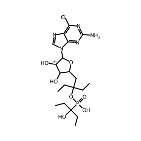 CCC(CC)(CC1OC(n2cnc3c(Cl)nc(N)nc32)[C@H](O)C1O)OP(=O)(O)C(O)(CC)CC